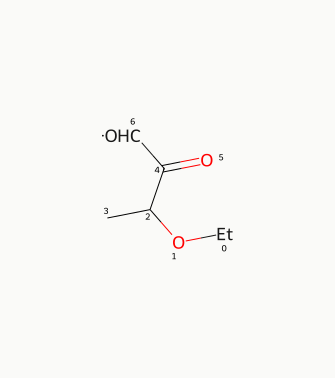 CCOC(C)C(=O)[C]=O